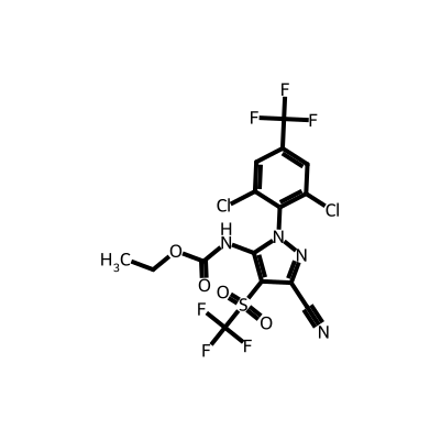 CCOC(=O)Nc1c(S(=O)(=O)C(F)(F)F)c(C#N)nn1-c1c(Cl)cc(C(F)(F)F)cc1Cl